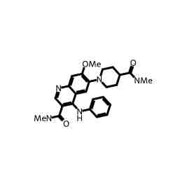 CNC(=O)c1cnc2cc(OC)c(N3CCC(C(=O)NC)CC3)cc2c1Nc1ccccc1